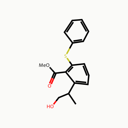 COC(=O)c1c(Sc2ccccc2)cccc1C(C)CO